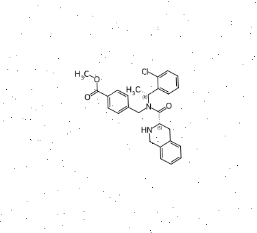 COC(=O)c1ccc(CN(C(=O)[C@@H]2Cc3ccccc3CN2)[C@H](C)c2ccccc2Cl)cc1